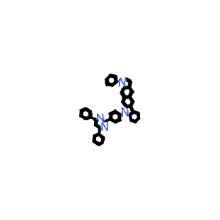 c1ccc(-c2cc(-c3ccccc3)nc(-c3ccc(-n4c5ccccc5c5cc6cc7ccn(-c8ccccc8)c7cc6cc54)cc3)n2)cc1